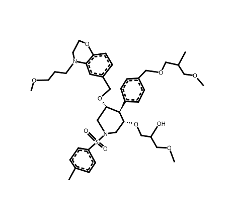 COCCCN1CCOc2ccc(CO[C@H]3CN(S(=O)(=O)c4ccc(C)cc4)C[C@@H](OCC(O)COC)[C@@H]3c3ccc(COCC(C)COC)cc3)cc21